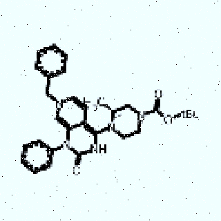 C[C@H]1CN(C(=O)OC(C)(C)C)CCN1C1=C2C=CN(Cc3ccccc3)C=C2N(c2ccccc2)C(=O)N1